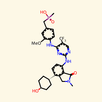 COc1cc(CP(C)(=O)O)ccc1Nc1nc(Nc2ccc([C@H]3CC[C@H](O)CC3)c3c2C(=O)N(C)C3)ncc1C(F)(F)F